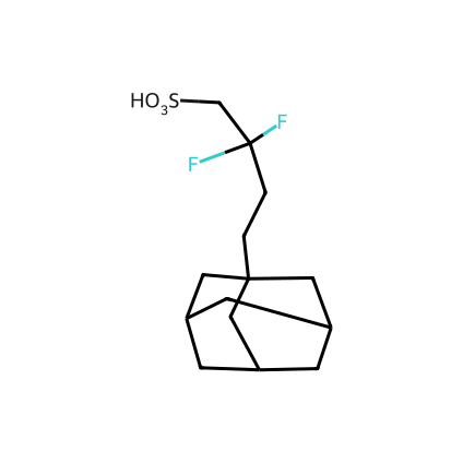 O=S(=O)(O)CC(F)(F)CCC12CC3CC(CC(C3)C1)C2